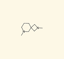 CN1CCCC2(C1)CN(C)C2